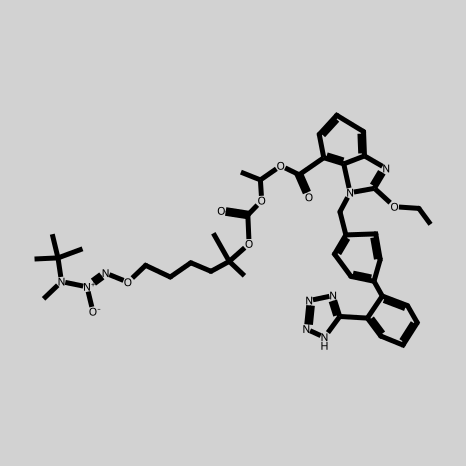 CCOc1nc2cccc(C(=O)OC(C)OC(=O)OC(C)(C)CCCCO/N=[N+](\[O-])N(C)C(C)(C)C)c2n1Cc1ccc(-c2ccccc2-c2nnn[nH]2)cc1